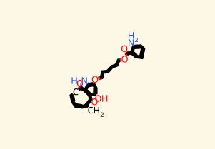 C=C1/C=C\C=C/CC(=O)c2c(N)c(OCCCCCCOC(=O)c3ccccc3N)cc(O)c2C1=O